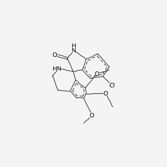 COc1cc2c(c(OC)c1OC)C1(NCC2)C(=O)Nc2ccc(Cl)cc21